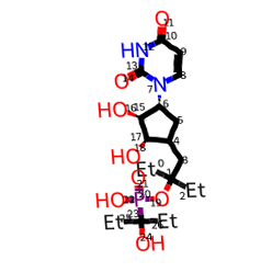 CCC(CC)(CC1C[C@@H](n2ccc(=O)[nH]c2=O)[C@H](O)[C@@H]1O)OP(=O)(O)C(O)(CC)CC